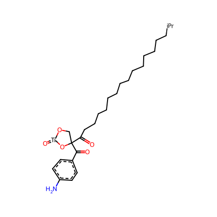 CC(C)CCCCCCCCCCCCCCC(=O)C1(C(=O)c2ccc(N)cc2)C[O][Ti](=[O])[O]1